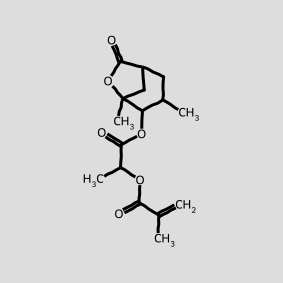 C=C(C)C(=O)OC(C)C(=O)OC1C(C)CC2CC1(C)OC2=O